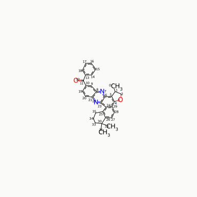 CC1COc2c1c1nc3cc(C(=O)c4ccccc4)ccc3nc1c1c3c(ccc21)C(C)(C)CCC3